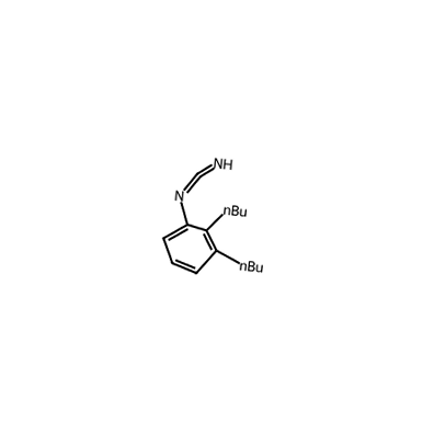 CCCCc1cccc(N=C=N)c1CCCC